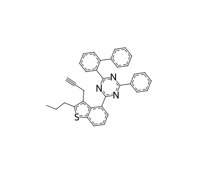 C#CCc1c(CCC)sc2cccc(-c3nc(-c4ccccc4)nc(-c4ccccc4-c4ccccc4)n3)c12